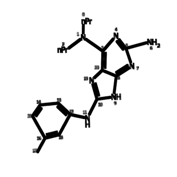 CCCN(CCC)c1nc(N)nc2[nH]c(Nc3cccc(C)c3)nc12